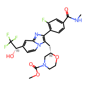 CNC(=O)c1ccc(-c2nc3cc([C@H](O)C(F)(F)F)ccn3c2C[C@H]2CN(C(=O)OC)CCO2)c(F)c1